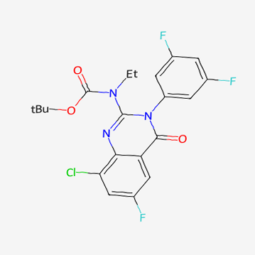 CCN(C(=O)OC(C)(C)C)c1nc2c(Cl)cc(F)cc2c(=O)n1-c1cc(F)cc(F)c1